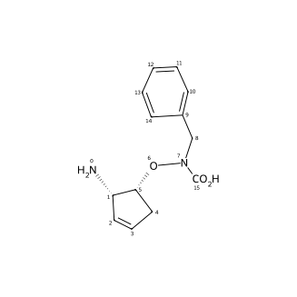 N[C@H]1C=CC[C@H]1ON(Cc1ccccc1)C(=O)O